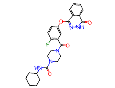 O=C(NC1CCCCC1)N1CCN(C(=O)c2cc(Oc3n[nH]c(=O)c4ccccc34)ccc2F)CC1